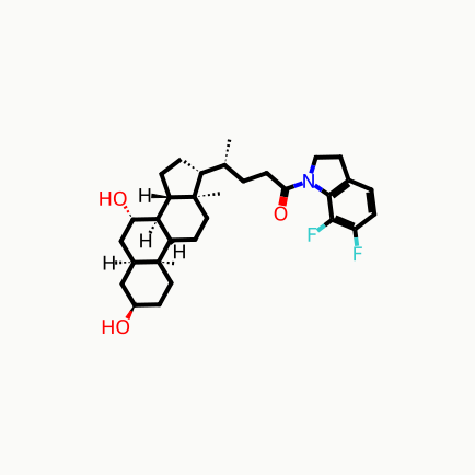 C[C@H](CCC(=O)N1CCc2ccc(F)c(F)c21)[C@H]1CC[C@H]2[C@@H]3[C@@H](O)C[C@@H]4C[C@H](O)CC[C@]4(C)[C@H]3CC[C@]12C